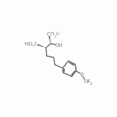 O=C(O)[C@@H](O)[C@@H](CCCc1ccc(OC(F)(F)F)cc1)C(=O)O